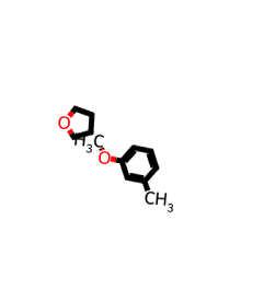 C1CCOC1.COc1cccc(C)c1